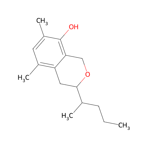 CCCC(C)C1Cc2c(C)cc(C)c(O)c2CO1